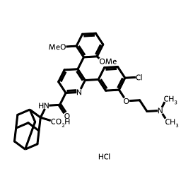 COc1cccc(OC)c1-c1ccc(C(=O)NC2(C(=O)O)C3CC4CC(C3)CC2C4)nc1-c1ccc(Cl)c(OCCN(C)C)c1.Cl